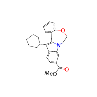 COC(=O)c1ccc2c(C3CCCCC3)c3n(c2c1)CCOc1ccccc1-3